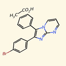 Brc1ccc(-c2nc3ncccn3c2-c2ccccc2)cc1.CC(=O)O